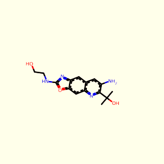 CC(C)(O)c1nc2cc3oc(NCCO)nc3cc2cc1N